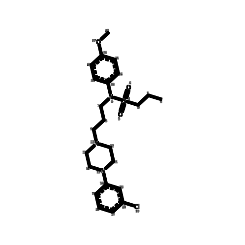 CCCS(=O)(=O)N(CCCN1CCN(c2cccc(Cl)c2)CC1)c1ccc(OC)cc1